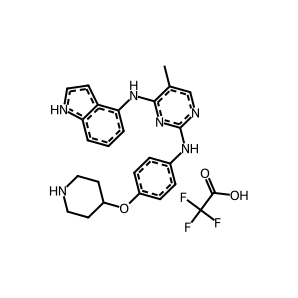 Cc1cnc(Nc2ccc(OC3CCNCC3)cc2)nc1Nc1cccc2[nH]ccc12.O=C(O)C(F)(F)F